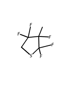 CC1(F)C(F)(F)CSC1(F)F